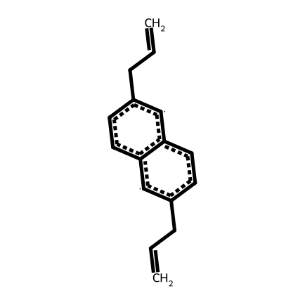 C=CCc1[c]c2ccc(CC=C)[c]c2cc1